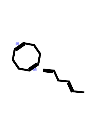 C1=C\CC/C=C\CC/1.C=CCC=CC